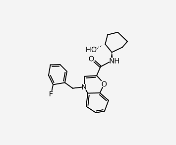 O=C(N[C@@H]1CCCC[C@H]1O)C1=CN(Cc2ccccc2F)c2ccccc2O1